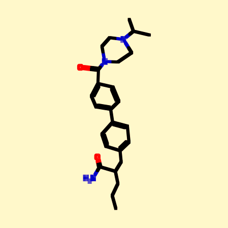 CCCC(Cc1ccc(-c2ccc(C(=O)N3CCN(C(C)C)CC3)cc2)cc1)C(N)=O